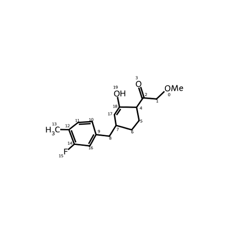 COCC(=O)C1CCC(Cc2ccc(C)c(F)c2)C=C1O